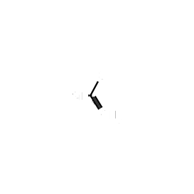 C=CCl.[SiH4]